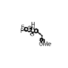 COc1ccc(CC#Cc2ccc3c(c2)C(=O)/C(=C/c2ccc(F)c(F)c2)C(=O)N3)cn1